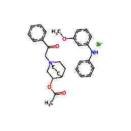 CC(=O)OC1C[N+]2(CC(=O)c3ccccc3)CCC1CC2.COc1cccc(Nc2ccccc2)c1.[Br-]